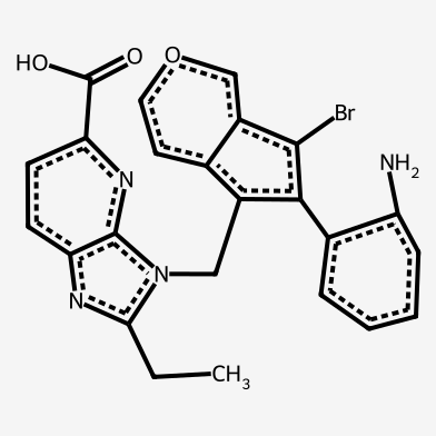 CCc1nc2ccc(C(=O)O)nc2n1Cc1c2ccocc-2c(Br)c1-c1ccccc1N